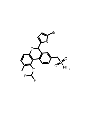 Cc1ccc2c(c1OC(F)F)-c1ccc(CS(N)(=O)=O)cc1C(c1ccc(Br)s1)O2